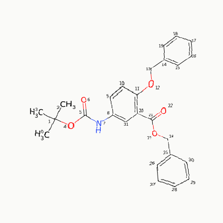 CC(C)(C)OC(=O)Nc1ccc(OCc2ccccc2)c(C(=O)OCc2ccccc2)c1